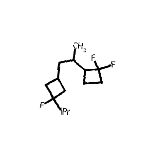 CC(CC1CC(F)(C(C)C)C1)C1CCC1(F)F